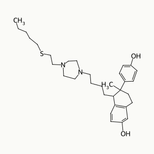 CCCCCSCCN1CCN(CCCCC2c3ccc(O)cc3CCC2(C)c2ccc(O)cc2)CC1